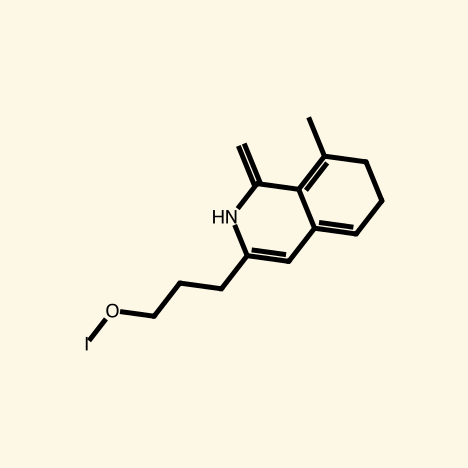 C=C1NC(CCCOI)=CC2=CCCC(C)=C12